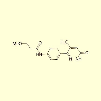 COCCC(=O)Nc1ccc(-c2n[nH]c(=O)cc2C)cc1